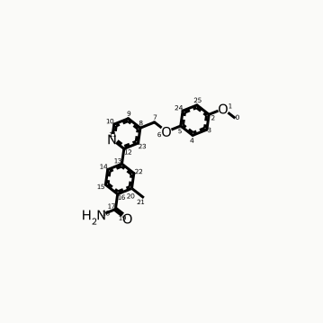 COc1ccc(OCc2ccnc(-c3ccc(C(N)=O)c(C)c3)c2)cc1